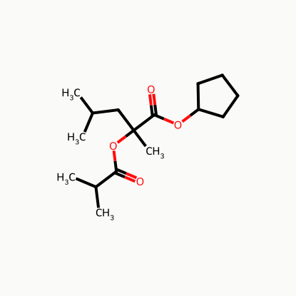 CC(C)CC(C)(OC(=O)C(C)C)C(=O)OC1CCCC1